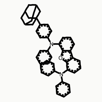 c1ccc(N(c2ccccc2)c2cccc3c2oc2c(N(c4ccccc4)c4ccc(C56CC7CC(CC(C7)C5)C6)cc4)cccc23)cc1